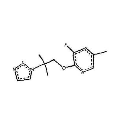 Cc1cnc(OCC(C)(C)n2ccnn2)c(F)c1